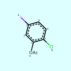 CC(=O)Oc1cc(I)ccc1Cl